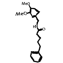 COc1ccc(CNC(=O)CCCCc2ccccc2)cc1OC